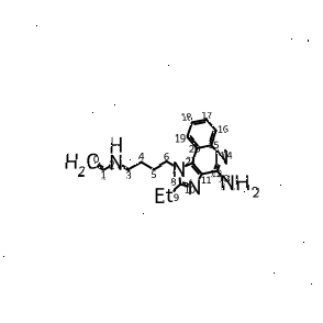 C=CNCCCCn1c(CC)nc2c(N)nc3ccccc3c21